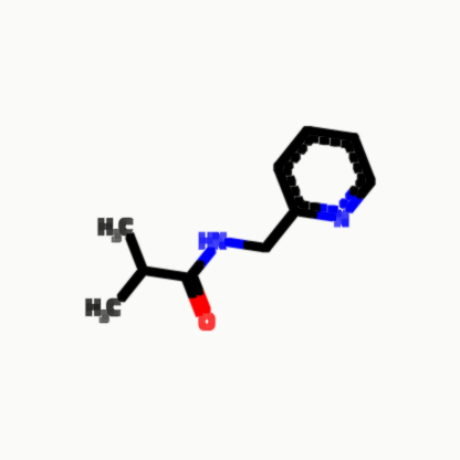 CC(C)C(=O)NCc1ccccn1